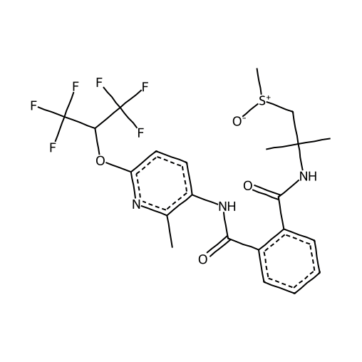 Cc1nc(OC(C(F)(F)F)C(F)(F)F)ccc1NC(=O)c1ccccc1C(=O)NC(C)(C)C[S+](C)[O-]